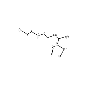 CCCC(NCCNCCN)[SiH](OCC)OCC